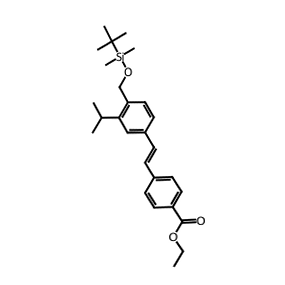 CCOC(=O)c1ccc(C=Cc2ccc(CO[Si](C)(C)C(C)(C)C)c(C(C)C)c2)cc1